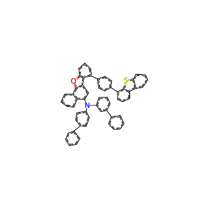 c1ccc(-c2ccc(N(c3cccc(-c4ccccc4)c3)c3cc4c(oc5cccc(-c6ccc(-c7cccc8c7sc7ccccc78)cc6)c54)c4ccccc34)cc2)cc1